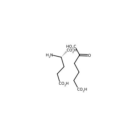 N[C@@H](CCC(=O)O)C(=O)O.O=C(O)CCCC(=O)C(=O)O